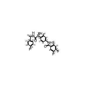 Cc1cc(NC(=O)c2cc(F)c(F)cc2F)ccc1N(S)C(=O)NC(C)c1ccc(F)cc1